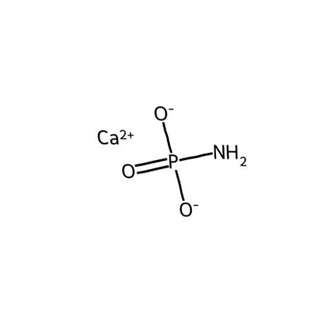 NP(=O)([O-])[O-].[Ca+2]